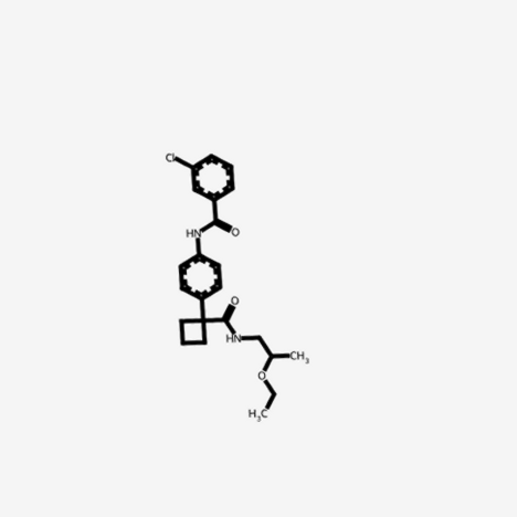 CCOC(C)CNC(=O)C1(c2ccc(NC(=O)c3cccc(Cl)c3)cc2)CCC1